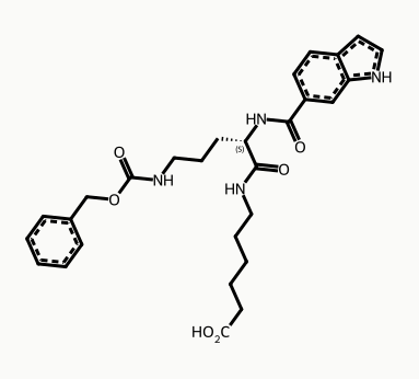 O=C(O)CCCCCNC(=O)[C@H](CCCNC(=O)OCc1ccccc1)NC(=O)c1ccc2cc[nH]c2c1